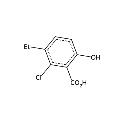 CCc1ccc(O)c(C(=O)O)c1Cl